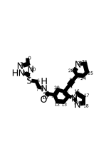 Cc1n[nH]c(SCCNC(=O)c2ccc(-n3cccn3)c(C#Cc3cccnc3)c2)n1